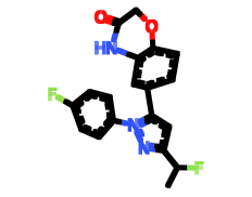 CC(F)c1cc(-c2ccc3c(c2)NC(=O)CO3)n(-c2ccc(F)cc2)n1